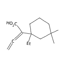 C=C=C(C(=O)O)C1(CC)CCCC(C)(C)C1